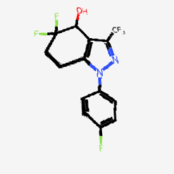 OC1c2c(C(F)(F)F)nn(-c3ccc(F)cc3)c2CCC1(F)F